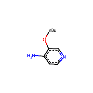 CCCCOc1cnccc1N